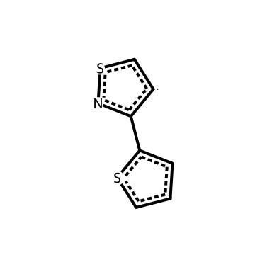 [c]1csnc1-c1cccs1